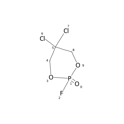 O=P1(F)OCC(Cl)(Cl)CO1